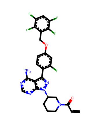 C=CC(=O)N1CCC[C@@H](n2nc(-c3ccc(OCc4c(F)c(F)cc(F)c4F)cc3F)c3c(N)ncnc32)C1